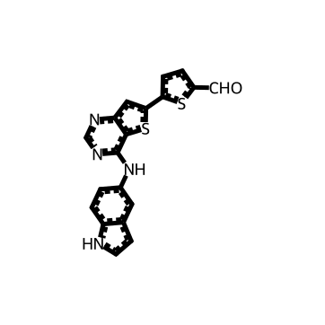 O=Cc1ccc(-c2cc3ncnc(Nc4ccc5[nH]ccc5c4)c3s2)s1